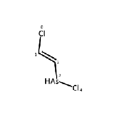 ClC=C[AsH]Cl